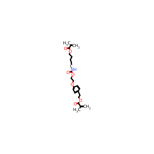 C=C(C)C(=O)OCCCCCNC(=O)OCCOc1ccc(CCOC(=O)C(=C)C)cc1